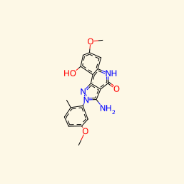 COc1ccc(C)c(-n2nc3c(c2N)c(=O)[nH]c2cc(OC)cc(O)c23)c1